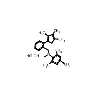 CC1=C(C)C(C)=C(c2ccccc2C[N]([Ti])c2c(C)cc(C)cc2C)C1.Cl.Cl